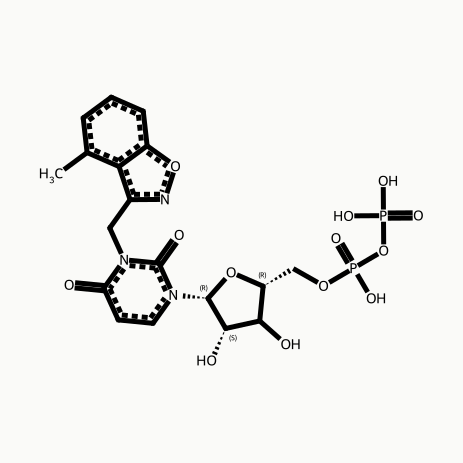 Cc1cccc2onc(Cn3c(=O)ccn([C@@H]4O[C@H](COP(=O)(O)OP(=O)(O)O)C(O)[C@@H]4O)c3=O)c12